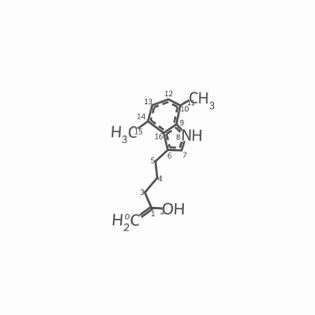 C=C(O)CCCc1c[nH]c2c(C)ccc(C)c12